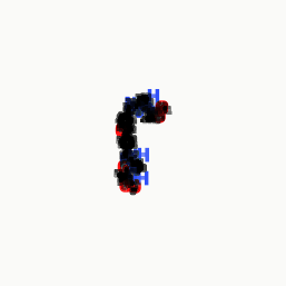 COC(=O)N[C@H](C(=O)N1CCC[C@H]1c1ncc(-c2ccc(-c3cc4cc(-c5cnc([C@@H]6CCCN6C[C@@H](NC(=O)OC)C(C)C)[nH]5)ccc4o3)cc2)[nH]1)C(C)C